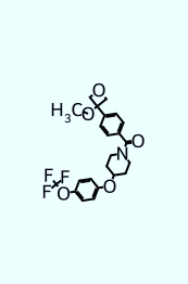 COC1(c2ccc(C(=O)N3CCC(Oc4ccc(OC(F)(F)F)cc4)CC3)cc2)COC1